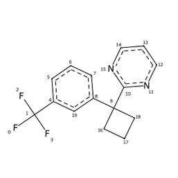 FC(F)(F)c1cccc(C2(c3ncccn3)CCC2)c1